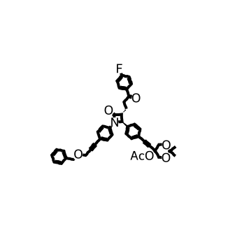 CC(=O)OC1(C#Cc2ccc([C@@H]3[C@@H](CCC(=O)c4ccc(F)cc4)C(=O)N3c3ccc(C#CCOCc4ccccc4)cc3)cc2)COC(C)(C)OC1